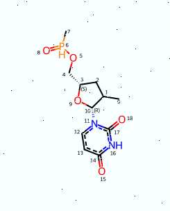 CC1C[C@@H](CO[PH](C)=O)O[C@H]1n1ccc(=O)[nH]c1=O